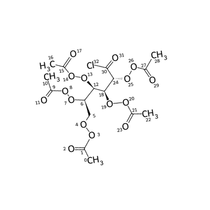 CC(=O)OOC[C@@H](OOC(C)=O)[C@@H](OOC(C)=O)[C@H](OOC(C)=O)[C@@H](OOC(C)=O)C(=O)Cl